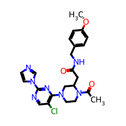 COc1ccc(CNC(=O)CC2CN(c3nc(-n4ccnc4)ncc3Cl)CCN2C(C)=O)cc1